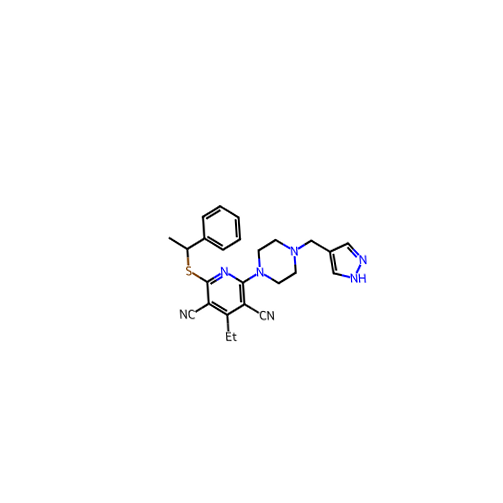 CCc1c(C#N)c(SC(C)c2ccccc2)nc(N2CCN(Cc3cn[nH]c3)CC2)c1C#N